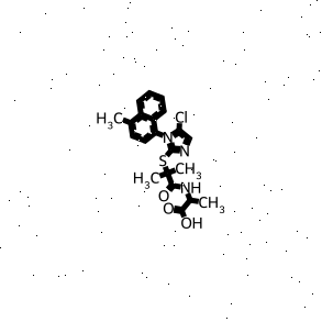 Cc1ccc(-n2c(Cl)cnc2SC(C)(C)C(=O)NC(C)C(=O)O)c2ccccc12